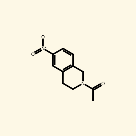 CC(=O)N1CCc2cc([N+](=O)[O-])ccc2C1